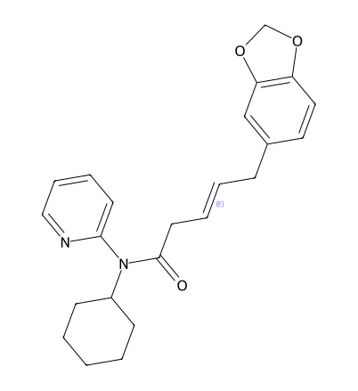 O=C(C/C=C/Cc1ccc2c(c1)OCO2)N(c1ccccn1)C1CCCCC1